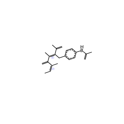 C=C(C)Bc1ccc(C/C(C(=C)C)=C(/C)C(=C)/C(C)=C\C)cc1